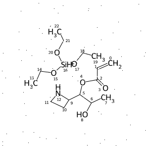 C=CC(=O)OC(C(C)O)C1CCN1.CCO[SiH](OCC)OCC